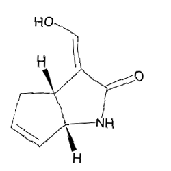 O=C1N[C@@H]2C=CC[C@@H]2/C1=C\O